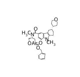 CC(=O)OC[C@H](CCC(=O)OCc1ccccc1)N(C)C(=O)c1ccc2c(c1)c1c(n2C)CC[C@@H](C2CCOCC2)C1